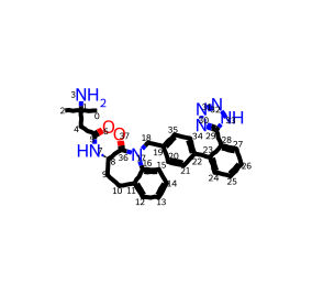 CC(C)(N)CC(=O)N[C@H]1CCc2ccccc2N(Cc2ccc(-c3ccccc3-c3nnn[nH]3)cc2)C1=O